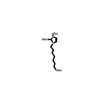 CCCCCCCCCCCCCCCCCN1C=CN(CCCCCCCCCC)C1CCCCCCCCC